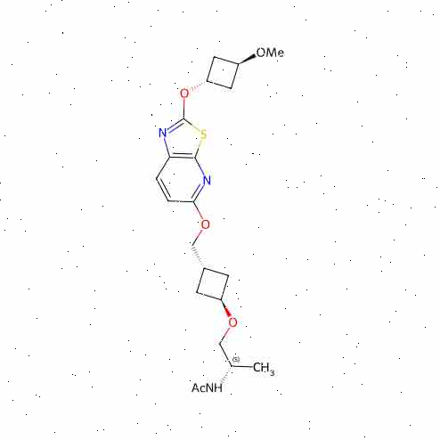 CO[C@H]1C[C@H](Oc2nc3ccc(OC[C@H]4C[C@H](OC[C@H](C)NC(C)=O)C4)nc3s2)C1